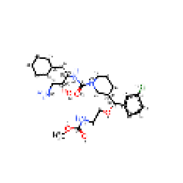 COC(=O)NCCO[C@@H](c1cccc(Cl)c1)[C@@H]1CCCN(C(=O)N[C@@H](CC2CCCCC2)[C@H](O)CN)C1